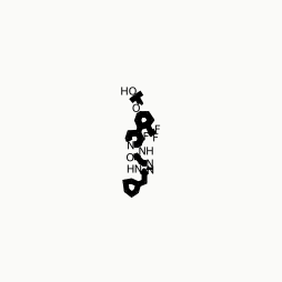 CC(C)(O)COc1ccc(C(F)(F)F)c(-c2ccnc(NC(=O)c3nnc(CC4CCCCC4)[nH]3)c2)c1